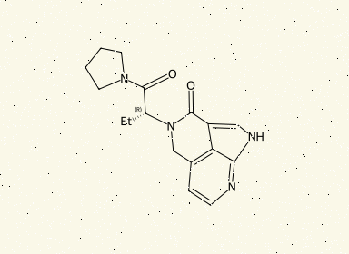 CC[C@H](C(=O)N1CCCC1)N1Cc2ccnc3[nH]cc(c23)C1=O